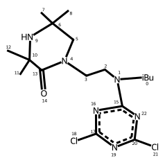 CCC(C)N(CCN1CC(C)(C)NC(C)(C)C1=O)c1nc(Cl)nc(Cl)n1